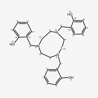 Oc1ccccc1CN1CCN(Cc2ccccc2O)CCN(Cc2ccccc2O)CC1